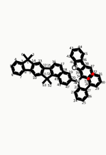 CC1(C)c2ccccc2-c2cc3c(cc21)-c1ccc2cc(N(c4ccccc4-c4ccccc4)c4cccc5c4oc4ccccc45)ccc2c1C3(C)C